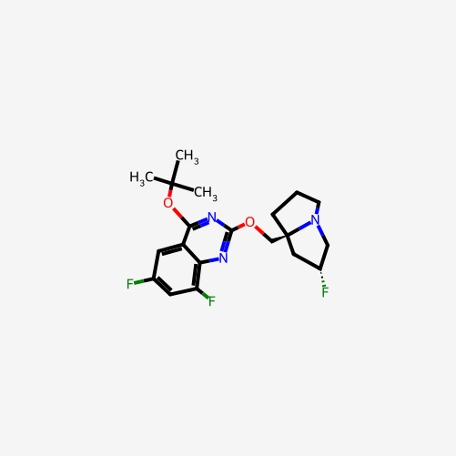 CC(C)(C)Oc1nc(OC[C@@]23CCCN2C[C@H](F)C3)nc2c(F)cc(F)cc12